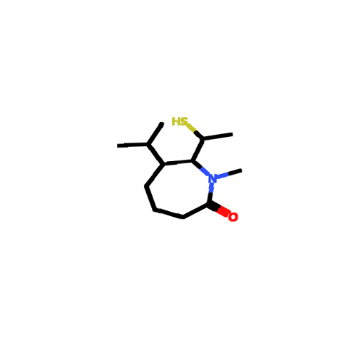 CC(C)C1CCCC(=O)N(C)C1C(C)S